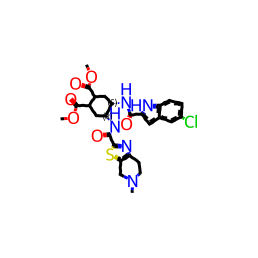 COC(=O)C1C[C@H](NC(=O)c2cc3cc(Cl)ccc3[nH]2)[C@H](NC(=O)c2nc3c(s2)CN(C)CC3)CC1C(=O)OC